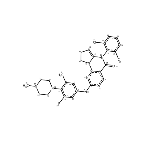 Cc1cc(Nc2ncc3c(n2)N2CCN=C2N(c2c(Cl)cccc2Cl)C3=O)cc(F)c1N1CCN(C)CC1